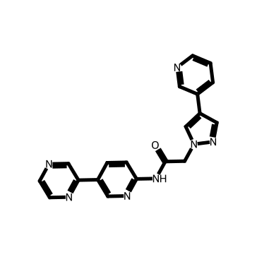 O=C(Cn1cc(-c2cccnc2)cn1)Nc1ccc(-c2cnccn2)cn1